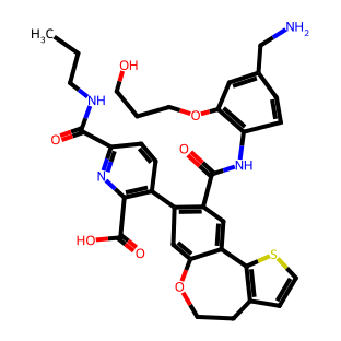 CCCNC(=O)c1ccc(-c2cc3c(cc2C(=O)Nc2ccc(CN)cc2OCCCO)-c2sccc2CCO3)c(C(=O)O)n1